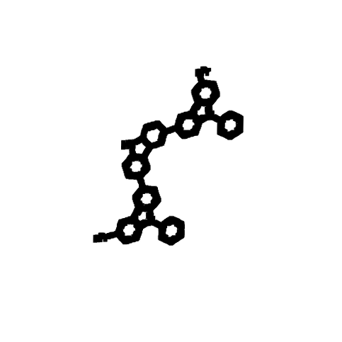 CCCc1ccc2c(c1)c1cc(C3=CC4c5cc(-c6ccc7c(c6)c6cc(CCC)ccc6n7-c6ccccc6)ccc5NC4C=C3)ccc1n2-c1ccccc1